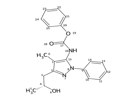 Cc1c(C[C@@H](C)O)nn(-c2ccccc2)c1NC(=O)Oc1ccccc1